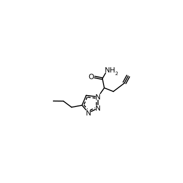 C#CCC(C(N)=O)n1cc(CCC)nn1